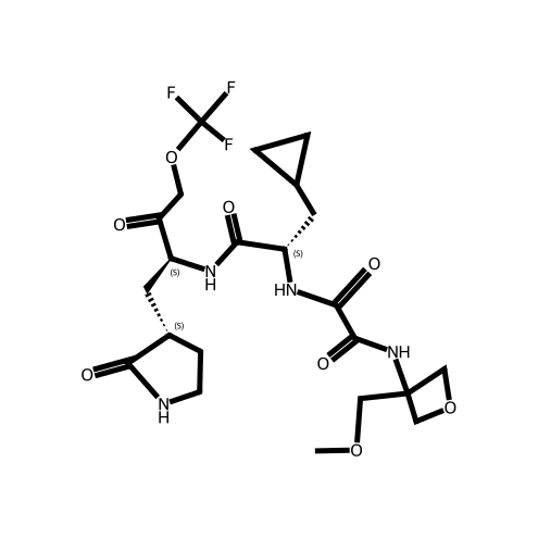 COCC1(NC(=O)C(=O)N[C@@H](CC2CC2)C(=O)N[C@@H](C[C@@H]2CCNC2=O)C(=O)COC(F)(F)F)COC1